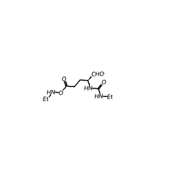 CCNOC(=O)CC[C@@H]([C]=O)NC(=O)NCC